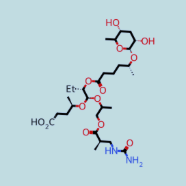 CC[C@H](OC(=O)CCC[C@@H](C)O[C@@H]1OC(C)[C@H](O)C[C@@H]1O)[C@@H](OC(C)COC(=O)[C@H](C)CNC(N)=O)O[C@H](C)CCC(=O)O